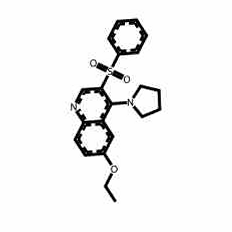 CCOc1ccc2ncc(S(=O)(=O)c3ccccc3)c(N3CCCC3)c2c1